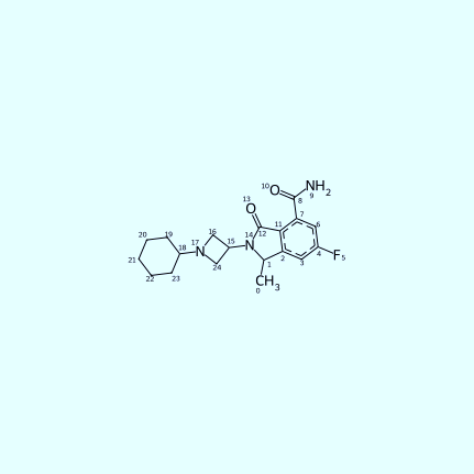 CC1c2cc(F)cc(C(N)=O)c2C(=O)N1C1CN(C2CCCCC2)C1